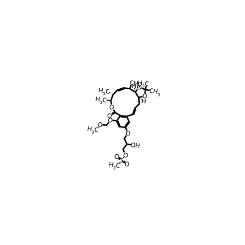 COCOc1cc(OCC(O)COS(C)(=O)=O)cc2c1C(=O)O[C@@H](C)[C@H](C)/C=C\C(C)[C@H]1OC(C)(C)O[C@H]1C/C=C/2